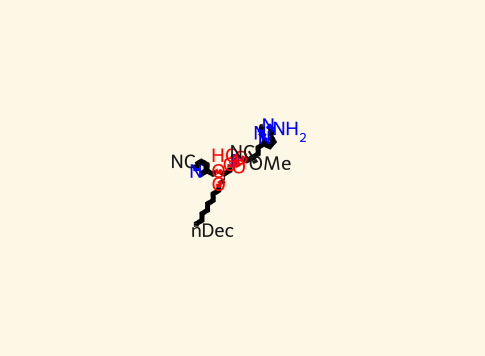 CCCCCCCCCCCCCCCCCCOC[C@@H](COP(=O)(O)OC[C@](C#N)(CCc1ccc2c(N)ncnn12)OC)OCc1ccc(C#N)nc1